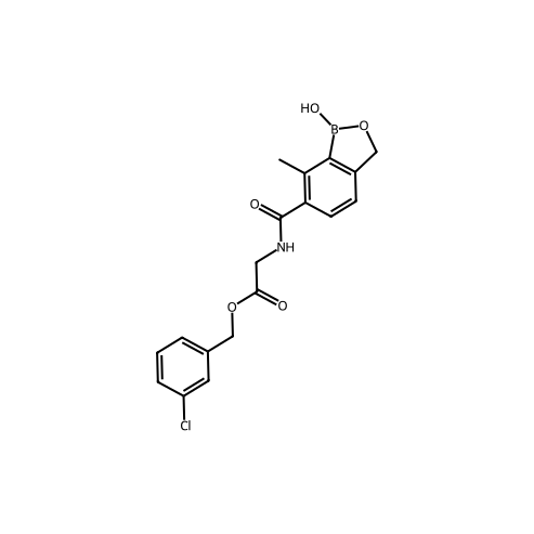 Cc1c(C(=O)NCC(=O)OCc2cccc(Cl)c2)ccc2c1B(O)OC2